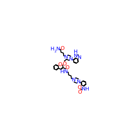 NC(=O)CCCN1CCN(c2cccc3nc[nH]c23)CC1COC1Oc2ccccc2C=C1C(=O)NCCCCN1CCN(c2cccc3[nH]c(=O)oc23)CC1